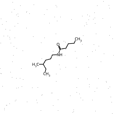 CCCCC(=O)NCCCC(C)CC